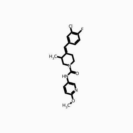 COc1ccc(NC(=O)N2CCC(=Cc3ccc(F)c(Cl)c3)C(C)C2)cn1